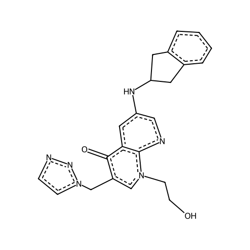 O=c1c(Cn2ccnn2)cn(CCO)c2ncc(NC3Cc4ccccc4C3)cc12